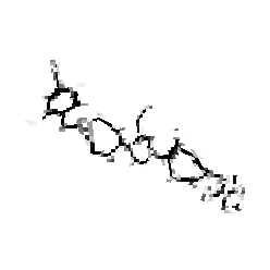 CC[C@H]1CN(c2ncc(NS(N)(=O)=O)cc2Cl)CCN1C1CCN(Cc2ccc(Cl)cc2F)CC1